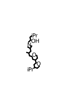 CC(C)C[C@@H](O)CN1CC(CC(C)CC2CC(C3CC(C(C)C)CCO3)CCO2)C1